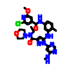 CCN(C(=O)c1cc(Nc2cc(NC(=O)c3cc(Cl)nc(OC)c3)ccc2C)n(-c2cc(NC)ncn2)n1)N1CCOCC1